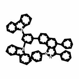 c1ccc(-c2cc3ccc(-c4cc(-n5c6ccccc6c6ccccc65)cc(-n5c6ccccc6c6ccccc65)c4)cc3c3c2c(-c2ccccc2)nn3-c2ccccc2)cc1